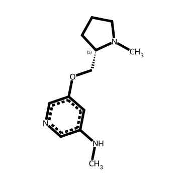 CNc1cncc(OC[C@@H]2CCCN2C)c1